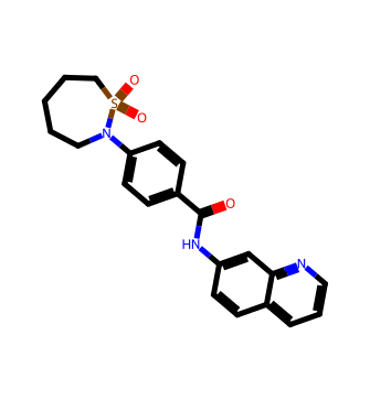 O=C(Nc1ccc2cccnc2c1)c1ccc(N2CCCCCS2(=O)=O)cc1